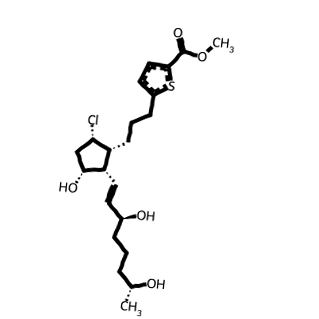 COC(=O)c1ccc(CCC[C@@H]2[C@H](C=C[C@@H](O)CCC[C@@H](C)O)[C@H](O)C[C@@H]2Cl)s1